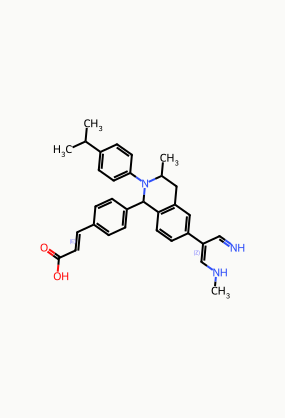 CN/C=C(\C=N)c1ccc2c(c1)CC(C)N(c1ccc(C(C)C)cc1)C2c1ccc(/C=C/C(=O)O)cc1